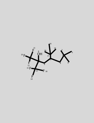 CC(C)(C)CC(CC(O)(C(F)(F)F)C(F)(F)F)C(C)(C)C